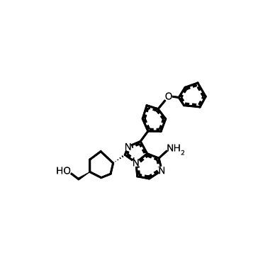 Nc1nccn2c1c(-c1ccc(Oc3ccccc3)cc1)nc2[C@H]1CC[C@H](CO)CC1